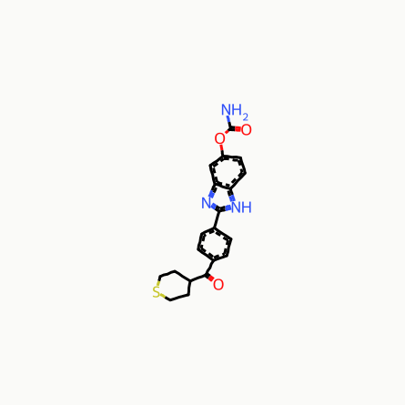 NC(=O)Oc1ccc2[nH]c(-c3ccc(C(=O)C4CCSCC4)cc3)nc2c1